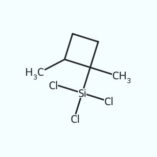 CC1CCC1(C)[Si](Cl)(Cl)Cl